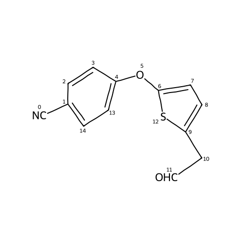 N#Cc1ccc(Oc2ccc(CC=O)s2)cc1